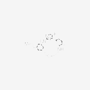 CSCc1cc2cc(c1)OCCCCCNc1cc(ccc1F)-c1nc(ncc1F)N2